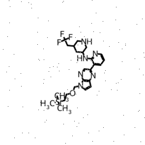 C[Si](C)(C)CCOCn1ccc2nc(-c3cccnc3NC3CNCC(CC(F)(F)F)C3)cnc21